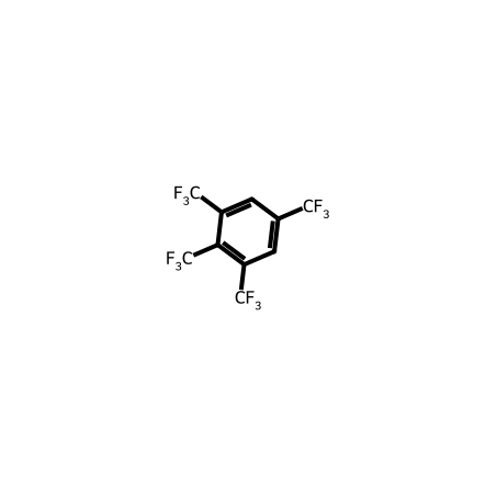 FC(F)(F)c1cc(C(F)(F)F)c(C(F)(F)F)c(C(F)(F)F)c1